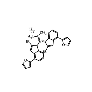 CCC1=Cc2c(-c3ccco3)cccc2[CH]1[Zr+2]([CH]1C(CC)=Cc2c(-c3ccco3)cccc21)=[Si](C)C.[Cl-].[Cl-]